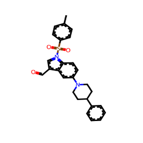 Cc1ccc(S(=O)(=O)n2cc(C=O)c3cc(N4CCC(c5ccccc5)CC4)ccc32)cc1